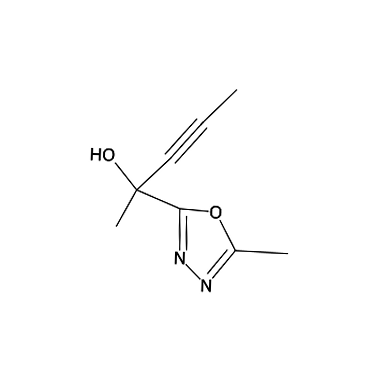 CC#CC(C)(O)c1nnc(C)o1